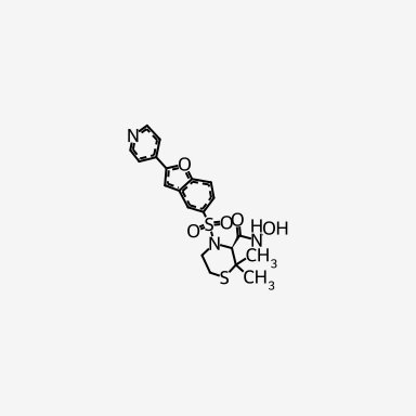 CC1(C)SCCN(S(=O)(=O)c2ccc3oc(-c4ccncc4)cc3c2)[C@H]1C(=O)NO